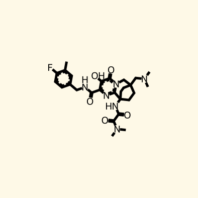 Cc1cc(CNC(=O)c2nc3n(c(=O)c2O)CC2(CN(C)C)CCC3(NC(=O)C(=O)N(C)C)CC2)ccc1F